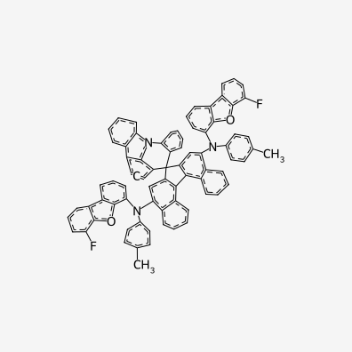 Cc1ccc(N(c2cc3c(c4ccccc24)-c2c(cc(N(c4ccc(C)cc4)c4cccc5c4oc4c(F)cccc45)c4ccccc24)C32c3ccccc3-n3c4ccccc4c4cccc2c43)c2cccc3c2oc2c(F)cccc23)cc1